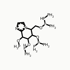 POC1c2nccn2C(COP(P)PP)C(OP(P)P)C1OPP